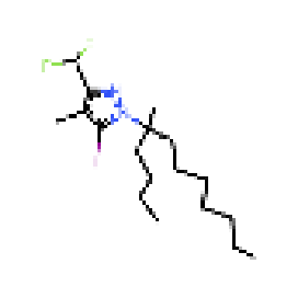 CCCCCCCC(C)(CCCC)n1nc(C(F)F)c(C)c1I